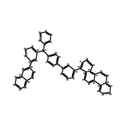 c1ccc(N(c2ccc(-c3cccc(-c4cccc5c4ccc4c6ccccc6ccc54)c3)cc2)c2cccc(-c3ccc4ccccc4c3)c2)cc1